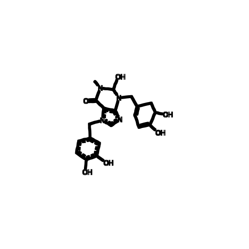 CN1C(=O)c2c(ncn2Cc2ccc(O)c(O)c2)N(CC2=CC=C(O)C(O)C2)C1O